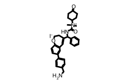 C[N+](C)(C(=O)NC(C1=Cc2cc(-c3ccc(CN)cc3)ccc2OCC1)c1ccccc1)C1CCC(=O)CC1.[I-]